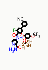 N#Cc1cccc(-c2cc(F)c(C(=O)Nc3ccnc(C(N)=O)c3)c(Oc3ccc(OC(F)(F)F)cc3OC(S)(S)S)c2)c1